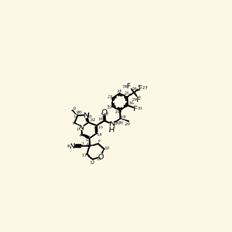 C[C@@H]1CN2C=C(C3(C#N)CCOCC3)C=C(C(=O)N[C@H](C)c3cccc(C(F)(F)F)c3F)C2=N1